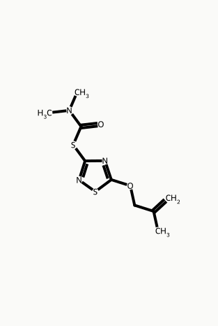 C=C(C)COc1nc(SC(=O)N(C)C)ns1